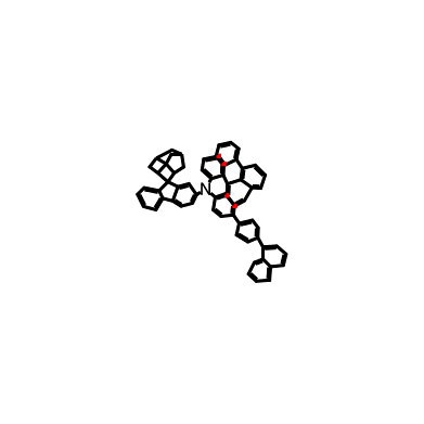 c1ccc(-c2cccc3cccc(-c4ccccc4N(c4ccc(-c5ccc(-c6cccc7ccccc67)cc5)cc4)c4ccc5c(c4)C4(c6ccccc6-5)C5CC6CC7CC4C75C6)c23)cc1